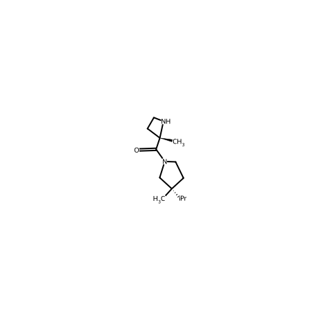 CC(C)[C@@]1(C)CCN(C(=O)[C@]2(C)CCN2)C1